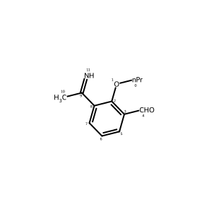 CCCOc1c(C=O)cccc1C(C)=N